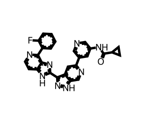 O=C(Nc1cncc(-c2cc3c(-c4nc5c(-c6ccccc6F)nccc5[nH]4)n[nH]c3cn2)c1)C1CC1